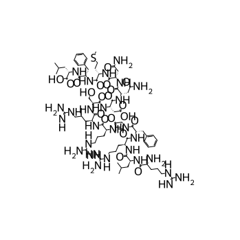 CSCC[C@H](NC(=O)[C@H](CC(N)=O)NC(=O)[C@H](CC(N)=O)NC(=O)[C@H](CC(=O)O)NC(=O)[C@H](CO)NC(=O)[C@H](CCCNC(=N)N)NC(=O)[C@H](CCCNC(=N)N)NC(=O)CNC(=O)[C@H](Cc1ccccc1)NC(=O)[C@H](CCCNC(=N)N)NC(=O)[C@H](CC(C)C)NC(=O)[C@@H](N)CCCNC(=N)N)C(=O)N[C@@H](Cc1ccccc1)C(=O)N[C@@H](CC(C)C)C(=O)O